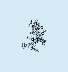 CCN1CCC[C@H]1C(=O)NC(=O)[C@H](CCCNC(=N)N)NC(=O)[C@H](CC(C)C)NC(=O)[C@@H](Cc1c(C)[nH]c2ccccc12)NC(=O)[C@H](Cc1ccc(O)cc1)NC(=O)[C@H](CO)NC(=O)[C@H](Cc1c[nH]c2ccccc12)NC(=O)[C@H](Cc1c[nH]cn1)NC(=O)[C@@H]1CCC(=O)N1